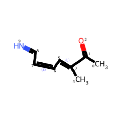 CC(=O)/C(C)=C/C=C\C=N